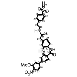 COc1cc(-c2ccc3c(c2)Nc2cc(CC(=O)NCCc4ccc(S(N)(=O)=O)cc4)ccc2NC3=O)ccc1[N+](=O)[O-]